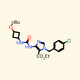 CCCCOC1CC(NC(=O)Nc2ncn(Cc3ccc(Cl)cc3)c2C(=O)OCC)C1